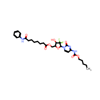 CCCCCOC(=O)Nc1ccn(C2OC(COC(=O)CCCCCCC(=O)Nc3ccccc3)C(O)C2(F)F)c(=O)n1